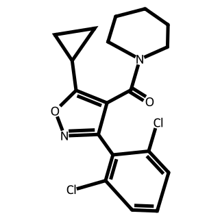 O=C(c1c(-c2c(Cl)cccc2Cl)noc1C1CC1)N1CCCCC1